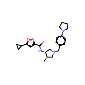 C[C@@H]1CN(Cc2ccc(N3CCCC3)cc2)C[C@@H]1NC(=O)c1cc(C2CC2)on1